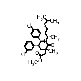 COC(=O)C[C@]1(C)C[C@H](c2cccc(Cl)c2)[C@@H](c2ccc(Cl)cc2)N([C@@H](C)CCSC(C)C)C1=O